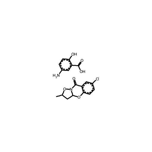 CC1CC2Oc3ccc(Cl)cc3C(=O)N2O1.Nc1ccc(O)c(C(=O)O)c1